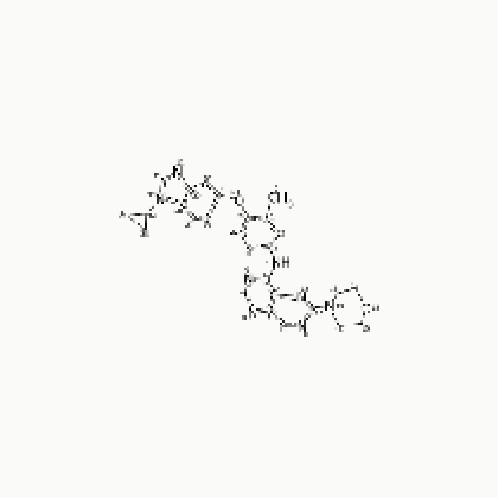 Cc1cc(Nc2ncnc3cnc(N4CCOCC4)nc23)ccc1Oc1ccc2c(c1)ncn2C1CC1